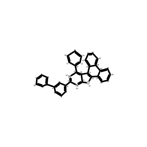 c1ccc(-c2cccc(-c3nc(-c4ccccc4)c4c(n3)oc3c5ccccc5c5ccccc5c34)c2)cc1